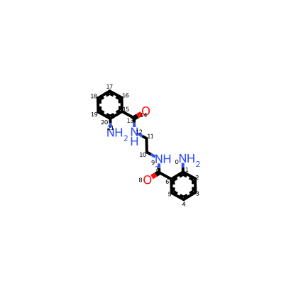 Nc1ccccc1C(=O)NCCNC(=O)c1ccccc1N